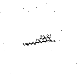 CC(CCO)OC(CCCCCCCCCCCN)OC(C)CCO